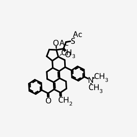 C=C1CCC2=C3C(c4ccc(N(C)C)cc4)C[C@@]4(C)C(CC[C@]4(OC(C)=O)C(=O)CSC(C)=O)C3CCC2=C1C(=O)c1ccccc1